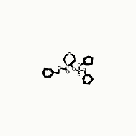 O=C(OCc1ccccc1)N1CCOCC=C1OP(=O)(Oc1ccccc1)Oc1ccccc1